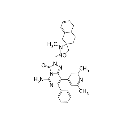 Cc1cc(-c2c(-c3ccccc3)nc(N)n3c(=O)n(CCN(C)C4(CO)CCC5CC=CC=C5C4)nc23)cc(C)n1